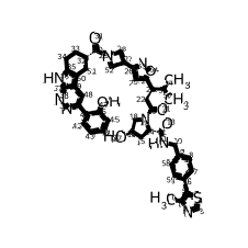 Cc1ncsc1-c1ccc(CNC(=O)[C@@H]2C[C@@H](O)CN2C(=O)C[C@@H](c2cc(C3CN(C(=O)[C@H]4CCc5[nH]c6nnc(-c7ccccc7O)cc6c5C4)C3)no2)C(C)C)cc1